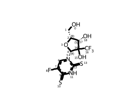 OC[C@H]1O[C@@H](n2cc(F)c(=S)[nH]c2=S)C(O)(C(F)(F)F)[C@H]1O